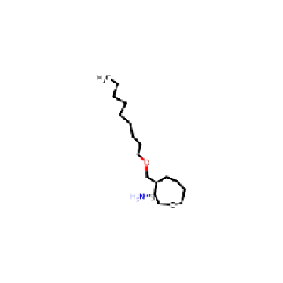 CCCCCCCCCOCC1CCCCCC[C@@H]1N